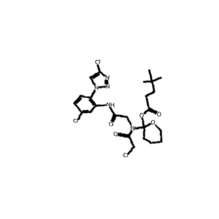 CC(C)(C)CCC(=O)OC1(N(CC(=O)Nc2cc(Cl)ccc2-n2cc(Cl)nn2)C(=O)CCl)CCCCO1